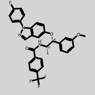 COc1cccc([C@@H](Oc2ccc3c(cnn3-c3ccc(F)cc3)c2)[C@H](C)NC(=O)c2ccc(C(F)(F)F)cc2)c1